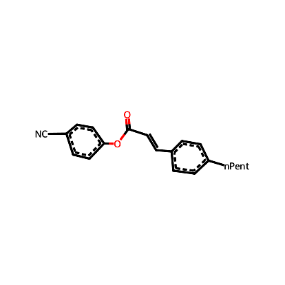 CCCCCc1ccc(C=CC(=O)Oc2ccc(C#N)cc2)cc1